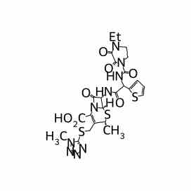 CCN1CCN(C(=O)NC(C(=O)NC2C(=O)N3C(C(=O)O)=C(CSc4nnnn4C)[C@H](C)S[C@@H]23)c2cccs2)C(=O)C1=O